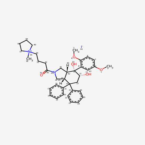 COc1ccc(OC)c([C@@]2(O)[C@H](O)CC(c3ccccc3)(c3ccccc3)[C@@H]3CN(C(=O)CCC[N+]4(C)CCCC4)C[C@@H]32)c1.[I-]